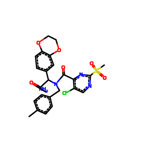 Cc1ccc(CN(C(=O)c2nc(S(C)(=O)=O)ncc2Cl)C(C(N)=O)c2ccc3c(c2)OCCO3)cc1